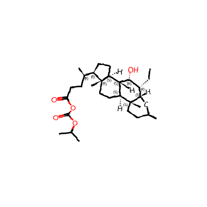 CC[C@H]1[C@@H](O)[C@@H]2[C@H](CC[C@]3(C)[C@@H]([C@H](C)CCC(=O)OC(=O)OC(C)C)CC[C@@H]23)[C@@]2(C)CCC(C)C[C@@H]12